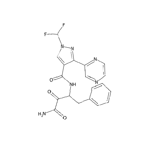 NC(=O)C(=O)C(Cc1ccccc1)NC(=O)c1cn(C(F)F)nc1-c1cnccn1